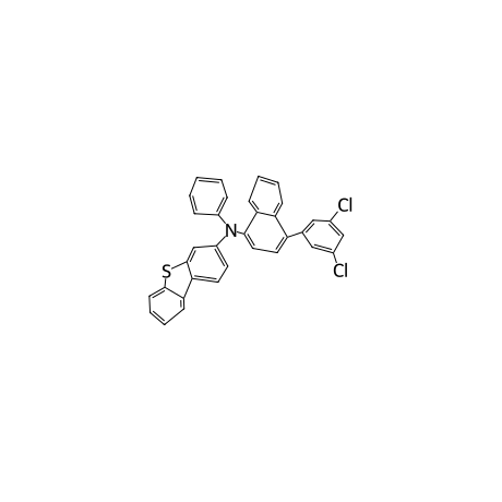 Clc1cc(Cl)cc(-c2ccc(N(c3ccccc3)c3ccc4c(c3)sc3ccccc34)c3ccccc23)c1